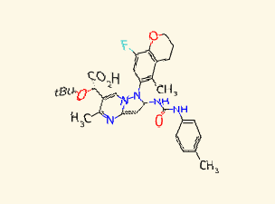 CC1=NC2=CC(NC(=O)Nc3ccc(C)cc3)N(c3cc(F)c4c(c3C)CCCO4)N2C=C1[C@H](OC(C)(C)C)C(=O)O